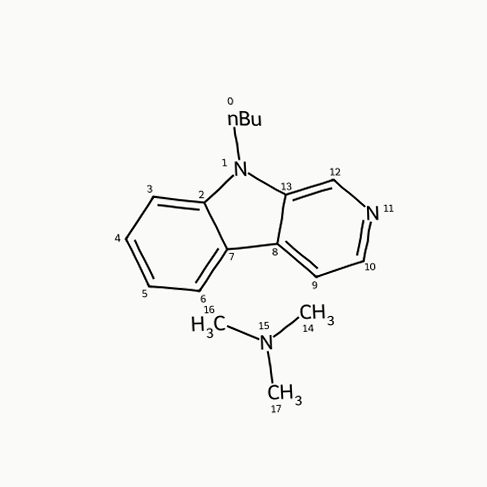 CCCCn1c2ccccc2c2ccncc21.CN(C)C